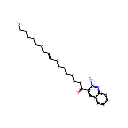 CCCCCCCCC=CCCCCCCCC(=O)c1cc2ccccc2nc1N